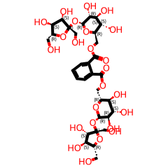 O=C(OC[C@H]1O[C@H](O[C@]2(CO)O[C@H](CO)[C@@H](O)[C@@H]2O)[C@H](O)[C@@H](O)[C@@H]1O)c1ccccc1C(=O)OC[C@H]1O[C@H](O[C@]2(CO)O[C@H](CO)[C@@H](O)[C@@H]2O)[C@H](O)[C@@H](O)[C@@H]1O